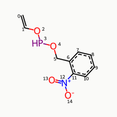 C=COPOCc1ccccc1[N+](=O)[O-]